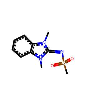 Cn1c(=NS(C)(=O)=O)n(C)c2ccccc21